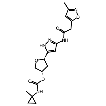 Cc1cc(CC(=O)Nc2cc([C@H]3C[C@H](OC(=O)NC4(C)CC4)CO3)[nH]n2)on1